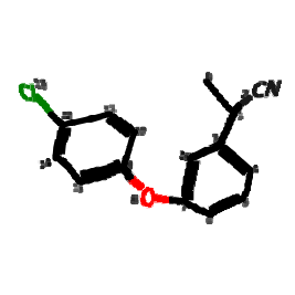 CC(C#N)c1cccc(Oc2ccc(Cl)cc2)c1